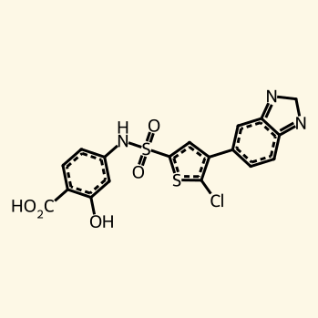 O=C(O)c1ccc(NS(=O)(=O)c2cc(-c3ccc4c(c3)=NCN=4)c(Cl)s2)cc1O